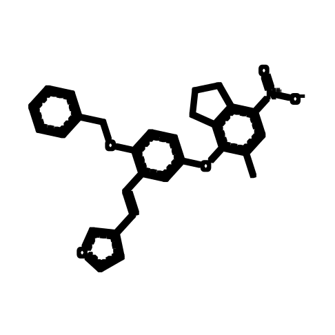 Cc1cc([N+](=O)[O-])c2c(c1Oc1ccc(OCc3ccccc3)c(C=Cc3ccoc3)c1)CCC2